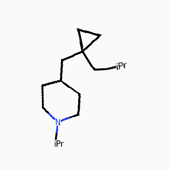 CC(C)CC1(CC2CCN(C(C)C)CC2)CC1